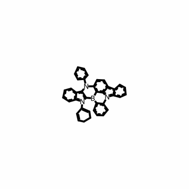 C1=CC(n2c3c(c4ccccc42)N(c2ccccc2)c2ccc4c5ccccc5n5c4c2B3c2ccccc2-5)=CCC1